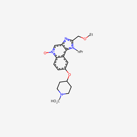 CCCn1c(COCC)nc2c[n+]([O-])c3ccc(OC4CCN(C(=O)O)CC4)cc3c21